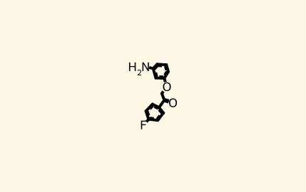 Nc1cccc(OCC(=O)c2ccc(F)cc2)c1